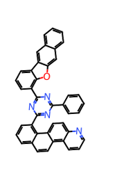 c1ccc(-c2nc(-c3cccc4c3oc3cc5ccccc5cc34)nc(-c3cccc4ccc5c6cccnc6ccc5c34)n2)cc1